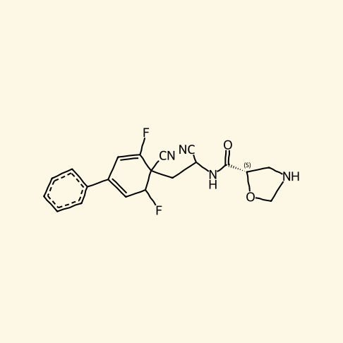 N#CC(CC1(C#N)C(F)=CC(c2ccccc2)=CC1F)NC(=O)[C@@H]1CNCO1